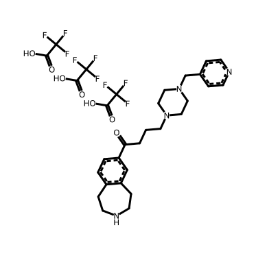 O=C(CCCN1CCN(Cc2ccncc2)CC1)c1ccc2c(c1)CCNCC2.O=C(O)C(F)(F)F.O=C(O)C(F)(F)F.O=C(O)C(F)(F)F